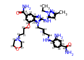 CCn1nc(C)cc1Nc1nc2cc(C(N)=O)cc(OCCCN3CCOCC3)c2n1C/C=C/CNc1ccc(C(N)=O)cc1N